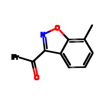 Cc1cccc2c(C(=O)C(C)C)noc12